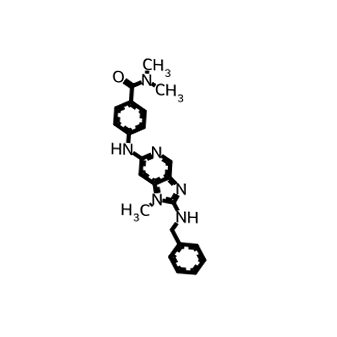 CN(C)C(=O)c1ccc(Nc2cc3c(cn2)nc(NCc2ccccc2)n3C)cc1